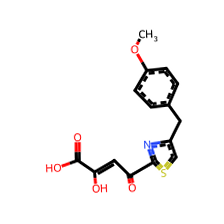 COc1ccc(Cc2csc(C(=O)/C=C(\O)C(=O)O)n2)cc1